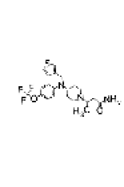 C[C@H](CC(N)=O)N1CCC(N(Cc2ccsc2)c2ccc(OC(F)(F)F)cc2)CC1